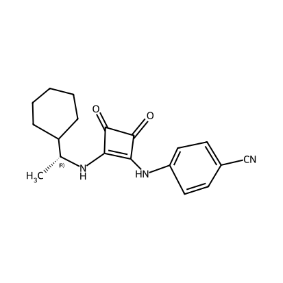 C[C@@H](Nc1c(Nc2ccc(C#N)cc2)c(=O)c1=O)C1CCCCC1